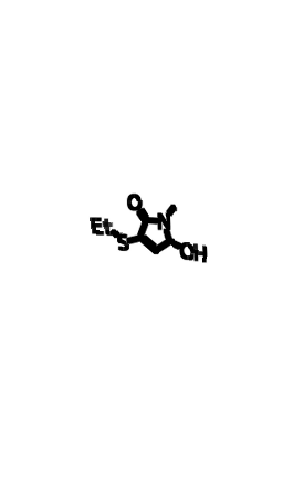 CCSC1=CC(O)N(C)C1=O